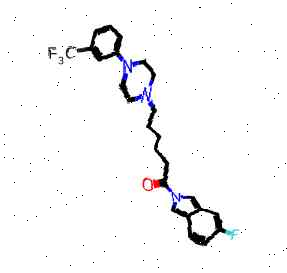 O=C(CCCCCN1CCN(c2cccc(C(F)(F)F)c2)CC1)n1cc2ccc(F)cc2c1